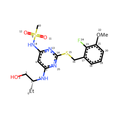 CC[C@H](CO)Nc1cc(NS(C)(=O)=O)nc(SCc2cccc(OC)c2F)n1